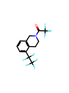 O=C(N1CCc2c(cccc2C(F)(F)C(F)(F)F)C1)C(F)(F)F